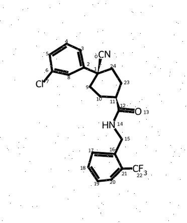 N#C[C@]1(c2cccc(Cl)c2)CC[C@H](C(=O)NCc2ccccc2C(F)(F)F)CC1